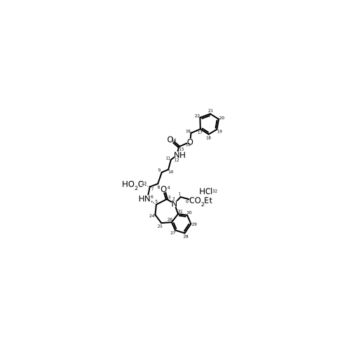 CCOC(=O)CN1C(=O)[C@@H](N[C@@H](CCCCNC(=O)OCc2ccccc2)C(=O)O)CCc2ccccc21.Cl